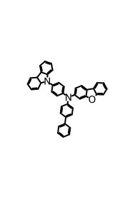 C1=CC2c3ccccc3N(c3ccc(N(c4ccc(-c5ccccc5)cc4)c4ccc5c(c4)oc4ccccc45)cc3)C2C=C1